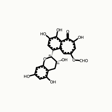 O=COc1cc(O)c(=O)c2c(O)c(O)cc([C@H]3Oc4cc(O)cc(O)c4C[C@H]3O)c2c1